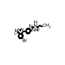 CCCC(=O)Nc1nc2cc(-c3n[nH]c(=O)c4ccc(Br)cc34)ccc2[nH]1